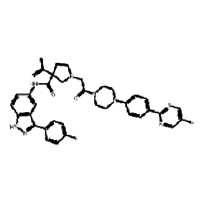 C=C(C)C1(C(=O)Nc2ccc3[nH]nc(-c4ccc(F)cc4)c3c2)CCN(CC(=O)N2CCN(c3ccc(-c4ncc(F)cn4)cc3)CC2)C1